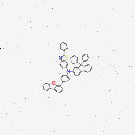 c1ccc(-c2nc3ccc(N(c4ccc(-c5cccc6c5oc5ccccc56)cc4)c4ccc5c(c4)C(c4ccccc4)(c4ccccc4)c4ccccc4-5)cc3s2)cc1